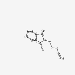 C#CCCCN1C(=O)c2ccccc2C1=O